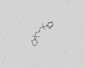 CC(C)(CCCC(C)(C)n1cccn1)N1CCCC1